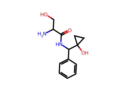 NC(CO)C(=O)NC(c1ccccc1)C1(O)CC1